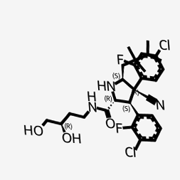 CC(C)C(C)(C)C[C@@H]1N[C@@H](C(=O)NCC[C@@H](O)CO)[C@H](c2cccc(Cl)c2F)[C@@]1(C#N)c1ccc(Cl)cc1F